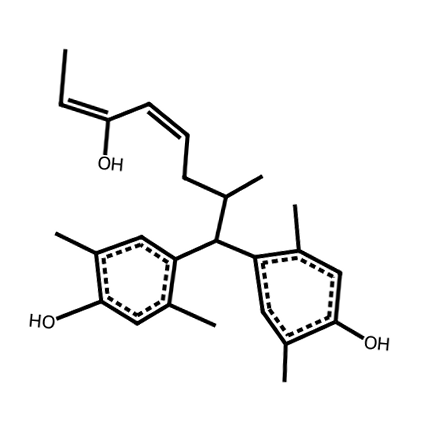 C/C=C(O)\C=C/CC(C)C(c1cc(C)c(O)cc1C)c1cc(C)c(O)cc1C